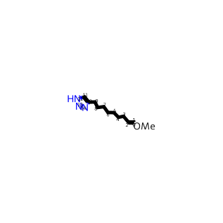 COC=CCCCCCCCc1c[nH]nn1